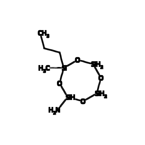 CCC[Si]1(C)O[SiH2]O[SiH2]O[SiH](N)O1